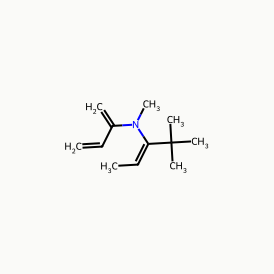 C=CC(=C)N(C)/C(=C\C)C(C)(C)C